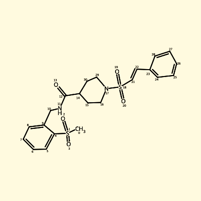 CS(=O)(=O)c1ccccc1CNC(=O)C1CCN(S(=O)(=O)/C=C/c2ccccc2)CC1